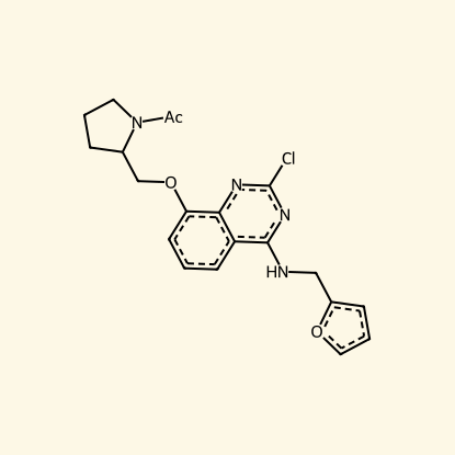 CC(=O)N1CCCC1COc1cccc2c(NCc3ccco3)nc(Cl)nc12